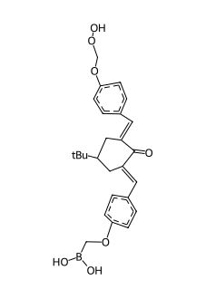 CC(C)(C)C1C/C(=C\c2ccc(OCOO)cc2)C(=O)/C(=C/c2ccc(OCB(O)O)cc2)C1